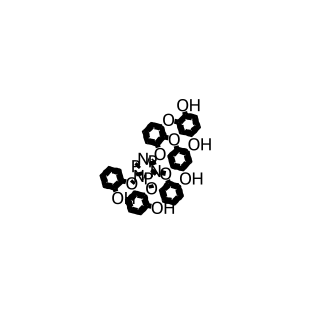 Oc1ccccc1Oc1cccc(Op2npn(Oc3ccccc3O)p(Oc3ccccc3O)n2Oc2ccccc2O)c1Oc1ccccc1O